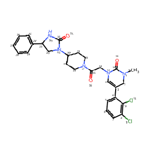 CN1CC(c2cccc(Cl)c2Cl)=CN(CC(=O)N2CCC(N3CC(c4ccccc4)NC3=O)CC2)C1=O